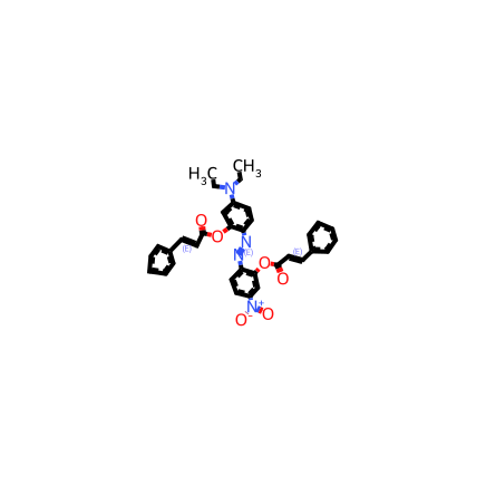 CCN(CC)c1ccc(/N=N/c2ccc([N+](=O)[O-])cc2OC(=O)/C=C/c2ccccc2)c(OC(=O)/C=C/c2ccccc2)c1